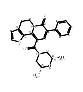 C[C@@H]1CN(C(=O)c2cc(-c3ccccc3)c(=O)n3c2-c2sccc2CC3)C[C@H](C)O1